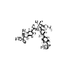 CC(C)C(CNC(=O)c1ccc(CC(N)C(=O)O)cc1)c1ccc(-c2ccc(CO)cc2)cc1